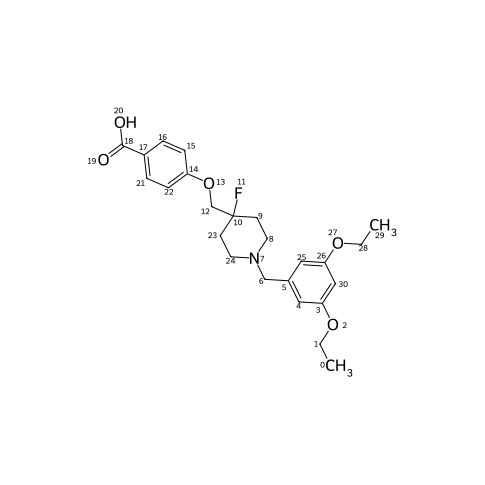 CCOc1cc(CN2CCC(F)(COc3ccc(C(=O)O)cc3)CC2)cc(OCC)c1